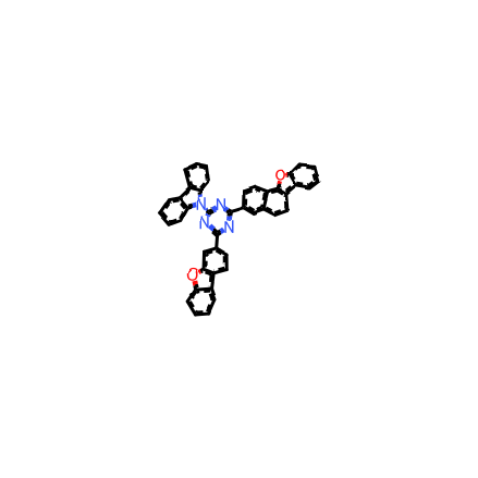 c1ccc2c(c1)oc1cc(-c3nc(-c4ccc5c(ccc6c7ccccc7oc56)c4)nc(-n4c5ccccc5c5ccccc54)n3)ccc12